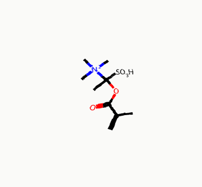 C=C(C)C(=O)OC(C)([N+](C)(C)C)S(=O)(=O)O